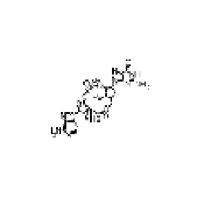 Nc1nc2c(ncn2C2OC3CO[P@](=O)(S)NC4C(CO[P@@](=O)(S)OC2C3CO)OC(n2cnc3c(N)ncnc32)C4F)c(=O)[nH]1